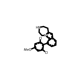 COc1cc(Cl)c(-c2cccc3cc4n(c23)CCNCC4)c(Cl)c1